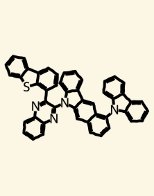 c1cc(-n2c3ccccc3c3ccccc32)c2cc3c4ccccc4n(-c4nc5ccccc5nc4-c4cccc5c4sc4ccccc45)c3cc2c1